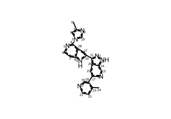 Cc1cn(-c2nccc3[nH]c(-c4n[nH]c5cnc(-c6cnccc6C)cc45)cc23)cn1